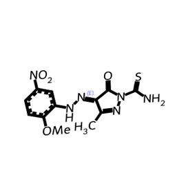 COc1ccc([N+](=O)[O-])cc1N/N=C1/C(=O)N(C(N)=S)N=C1C